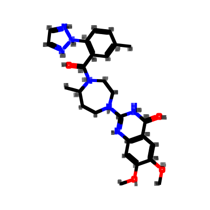 COc1cc2nc(N3CCC(C)N(C(=O)c4cc(C)ccc4-n4nccn4)CC3)[nH]c(=O)c2cc1OC